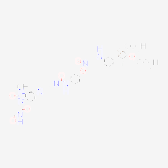 Cn1c(=O)n(C2CCC(=O)NC2=O)c2ccc(N3CCC4(CC3)CN(C(=O)Nc3cccc(CS(=O)(=O)N5CCC(Nc6cccc(-c7sc(C(=O)O)c(OCC(=O)O)c7Cl)c6)CC5)c3)C4)cc21